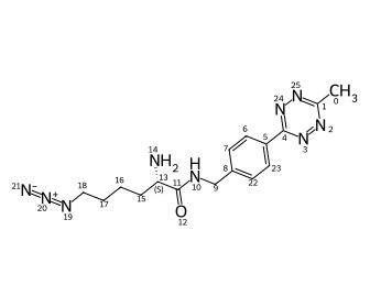 Cc1nnc(-c2ccc(CNC(=O)[C@@H](N)CCCCN=[N+]=[N-])cc2)nn1